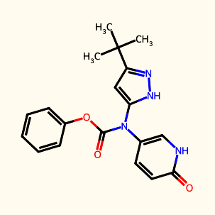 CC(C)(C)c1cc(N(C(=O)Oc2ccccc2)c2ccc(=O)[nH]c2)[nH]n1